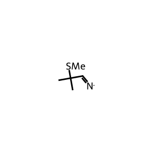 CSC(C)(C)C=[N]